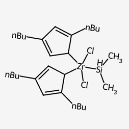 CCCCC1=C[CH]([Zr]([Cl])([Cl])([CH]2C=C(CCCC)C=C2CCCC)[SiH](C)C)C(CCCC)=C1